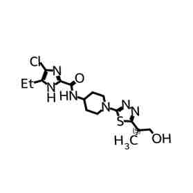 CCc1[nH]c(C(=O)NC2CCN(c3nnc([C@@H](C)CO)s3)CC2)nc1Cl